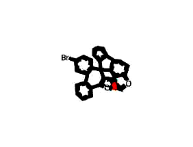 Brc1ccc2c(c1)-c1ccccc1-c1ccccc1C21c2ccccc2-c2ccc3oc4ccccc4c3c21